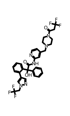 O=C(CC(F)(F)F)N1CCN(Cc2ccnc(NC(=O)C(O)(c3ccccc3)c3ccccc3-c3cnn(CC(F)(F)F)c3)c2)CC1